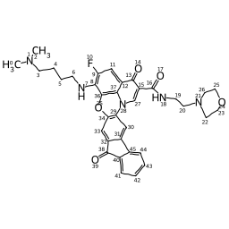 CN(C)CCCCNc1c(F)cc2c(=O)c(C(=O)NCCN3CCOCC3)cn3c4cc5c(cc4oc1c23)c(=O)c1ccccc15